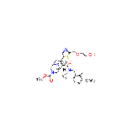 COc1cccc(CN(C(=O)C2=C(c3cnc(COCCO)s3)CC3CN(C(=O)OC(C)(C)C)C[C@H]2N3C(=O)O)C2CC2)c1C